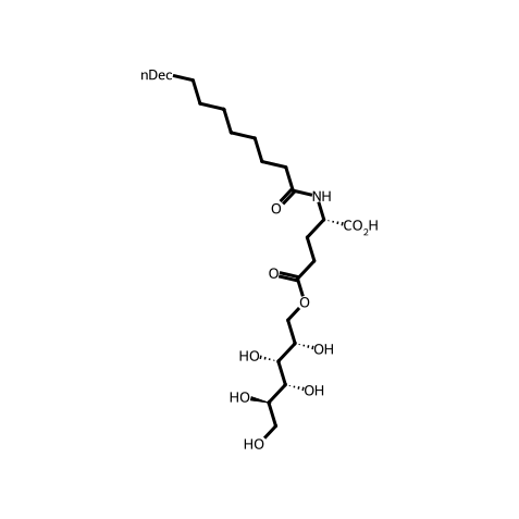 CCCCCCCCCCCCCCCCCC(=O)N[C@@H](CCC(=O)OC[C@H](O)[C@@H](O)[C@H](O)[C@H](O)CO)C(=O)O